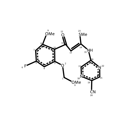 COCOc1cc(F)cc(OC)c1C(=O)/C=C(/Nc1cnc(C#N)cn1)SC